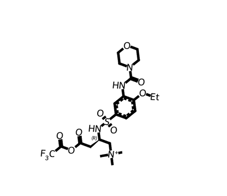 CCOc1ccc(S(=O)(=O)N[C@H](CC(=O)OC(=O)C(F)(F)F)C[N+](C)(C)C)cc1NC(=O)N1CCOCC1